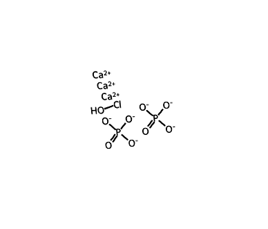 O=P([O-])([O-])[O-].O=P([O-])([O-])[O-].OCl.[Ca+2].[Ca+2].[Ca+2]